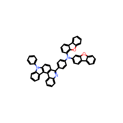 c1ccc(-n2c3ccccc3c3c4c(ccc32)c(-c2ccc(N(c3ccc5c(c3)oc3ccccc35)c3cccc5c3oc3ccccc35)cc2)nc2ccccc24)cc1